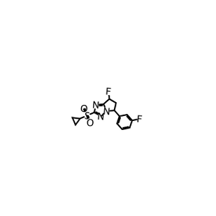 O=S(=O)(c1nc2n(n1)C(c1cccc(F)c1)CC2F)C1CC1